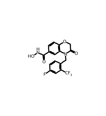 O=C(NO)c1ccc2c(c1)N(Cc1ccc(F)cc1C(F)(F)F)C(=O)CO2